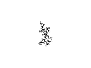 C[C@H]1CCCN(Cc2cc3c(S(C)(=O)=O)cn(-c4cc(-c5ccc(C#N)cc5-c5nccn5C)cc(C5CC5)n4)c(=O)c3[nH]2)C1